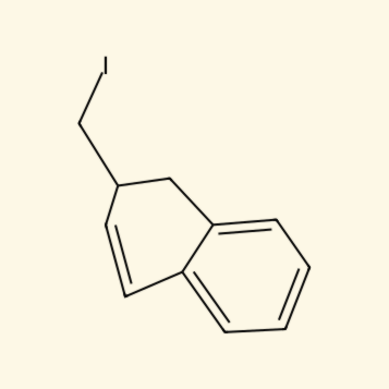 ICC1C=Cc2ccccc2C1